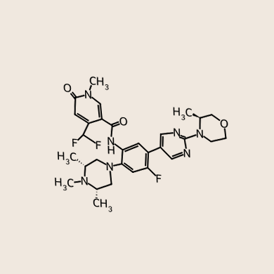 C[C@@H]1CN(c2cc(F)c(-c3cnc(N4CCOC[C@@H]4C)nc3)cc2NC(=O)c2cn(C)c(=O)cc2C(F)F)C[C@H](C)N1C